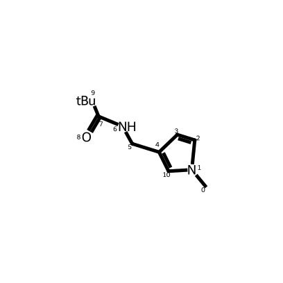 Cn1ccc(CNC(=O)C(C)(C)C)c1